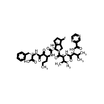 CCCC(NC(=O)[C@@H]1[C@H]2CCC(F)C2CN1C(=O)[C@@H](NC(=O)[C@H](NC(=O)c1cnccn1)C(C)C)C(C)C)C(=O)C(=O)N[C@@H](Cc1ccccc1)C(=O)O